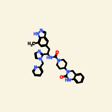 Cc1cc(CC(NC(=O)N2CCC(N3Cc4ccccc4NC3=O)CC2)c2nccn2Cc2ccccn2)cc2cn[nH]c12